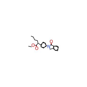 CCCCC(C(=O)OCC)c1ccc(N2Cc3ccccc3C2=O)cc1